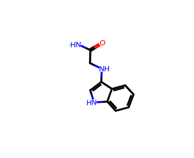 [NH]C(=O)CNc1c[nH]c2ccccc12